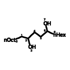 CCCCCCCCCC(O)CCC(O)CCCCCC